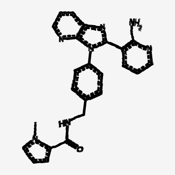 Cn1cccc1C(=O)NCc1ccc(-n2c(-c3cccnc3N)nc3cccnc32)cc1